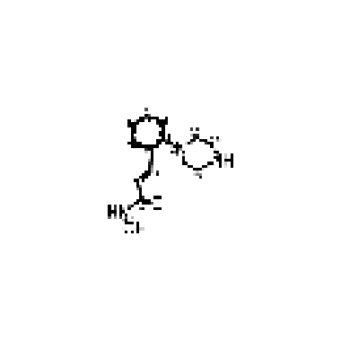 O=C(C=Cc1ccccc1N1CCNCC1)NO